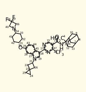 O=C(NC1(C(=O)O)C2CC3CC(C2)CC1C3)c1cnc(-c2cn(C3CC4(CC4)C3)c3cc(O[C@H]4CC[C@H](N5CC(F)(F)C5)CC4)ccc23)nc1C(F)(F)F